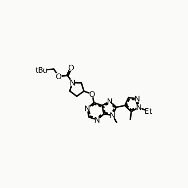 CCn1ncc(-c2nc3c(OC4CCN(C(=O)OCC(C)(C)C)C4)ncnc3n2C)c1C